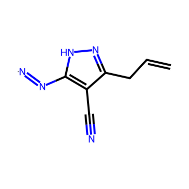 C=CCc1n[nH]c(N=[N])c1C#N